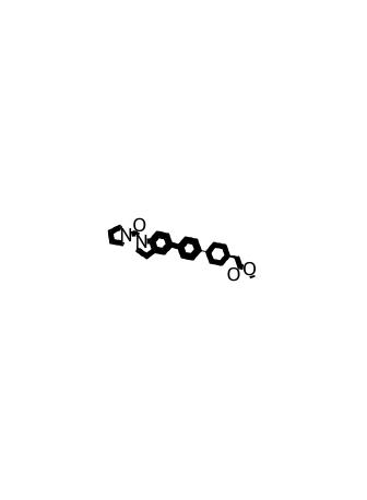 COC(=O)C[C@H]1CC[C@H](c2ccc(-c3ccc4c(c3)CCN4C(=O)N3CCCC3)cc2)CC1